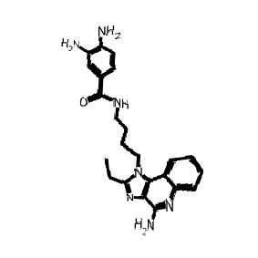 CCc1nc2c(N)nc3ccccc3c2n1CCCCNC(=O)c1ccc(N)c(N)c1